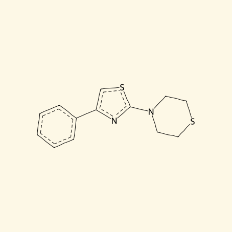 c1ccc(-c2csc(N3CCSCC3)n2)cc1